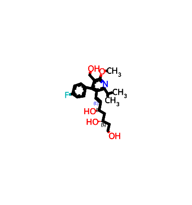 COc1nc(C(C)C)c(/C=C/[C@@H](O)C[C@@H](O)CCO)c(-c2ccc(F)cc2)c1CO